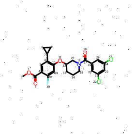 COC(=O)c1cc(C2CC2)c(OC2CCCN(C(=O)c3cc(Cl)cc(Cl)c3)C2)cc1F